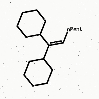 CCCCCC=C(C1CCCCC1)C1CCCCC1